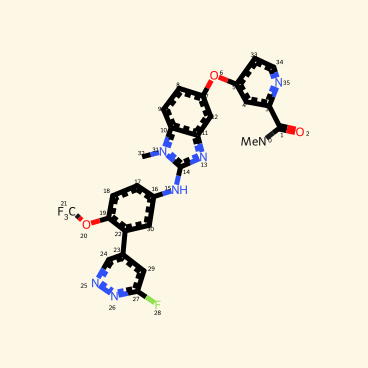 CNC(=O)c1cc(Oc2ccc3c(c2)nc(Nc2ccc(OC(F)(F)F)c(-c4cnnc(F)c4)c2)n3C)ccn1